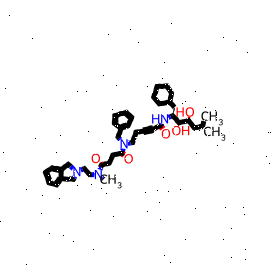 CC(C)C[C@H](O)[C@H](O)[C@@H](CC1CCCCC1)NC(=O)C#CCCN(Cc1ccccc1)C(=O)CCC(=O)N(C)CCN1Cc2ccccc2C1